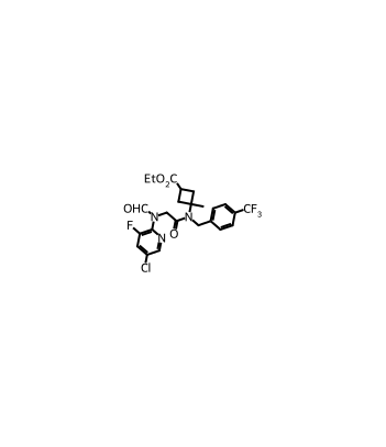 CCOC(=O)C1CC(C)(N(Cc2ccc(C(F)(F)F)cc2)C(=O)CN(C=O)c2ncc(Cl)cc2F)C1